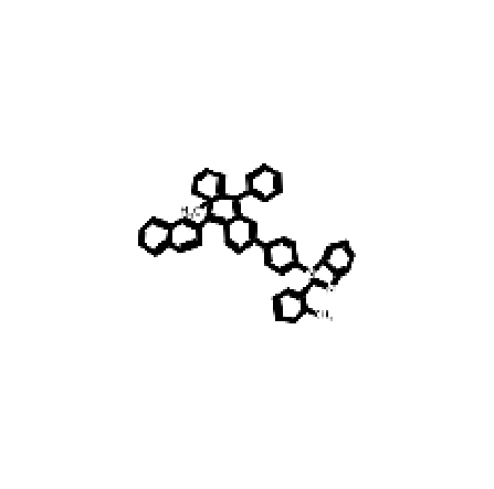 CC1CC=CC=C1c1nc2ccccc2n1-c1ccc(-c2ccc3c(c2)=C(c2ccccc2)C2=CC=CCC2(C)C=3c2ccc3ccccc3c2)cc1